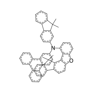 CC1(C)c2ccccc2-c2ccc(N(c3ccc4c5ccccc5c5ccccc5c4c3)c3cccc4oc5ccc6c(c5c34)C(C)(C)c3ccccc3-6)cc21